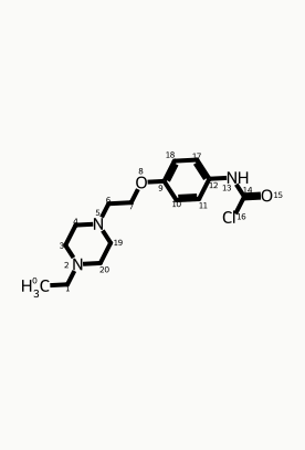 CCN1CCN(CCOc2ccc(NC(=O)Cl)cc2)CC1